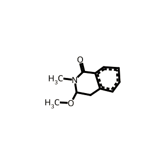 COC1Cc2ccccc2C(=O)N1C